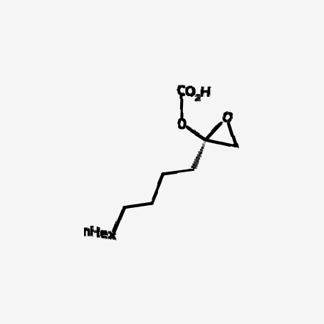 CCCCCCCCCC[C@@]1(OC(=O)O)CO1